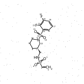 C=CS(=O)(=O)NC[C@H]1CCCN(S(=O)(=O)c2cccc(F)c2F)C1